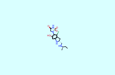 CC[C@@H](C)NC[C@H]1Cc2c(cc(O)c(N3CC(=O)NS3(=O)=O)c2F)N1